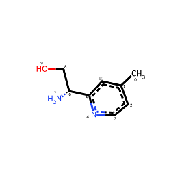 Cc1ccnc([C@H](N)CO)c1